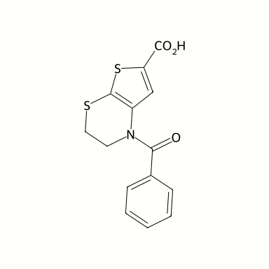 O=C(O)c1cc2c(s1)SCCN2C(=O)c1ccccc1